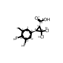 Cc1cc([C@H]2[C@H](C(=O)O)C2(Cl)Cl)cc(F)c1F